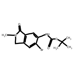 CN1Cc2cc(Br)c(NC(=O)OC(C)(C)C)cc2C1=O